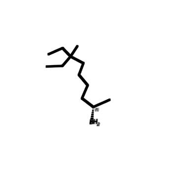 B[C@@H](C)CCCCC(C)(CC)CC